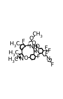 CCOC(=O)C[C@@H]1NC(=O)[C@@H](n2cc(CCN3CC(F)C3)c(C(F)(F)F)cc2=O)c2cc(ccc2F)Oc2nn(C)c(C)c2-c2cc(C)c(F)c1c2